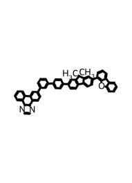 CC1(C)c2cc(-c3ccc(-c4cccc(-c5ccc6c(c5)c5ccccc5c5nccnc65)c4)cc3)ccc2-c2ccc(-c3cccc4c3oc3ccccc34)cc21